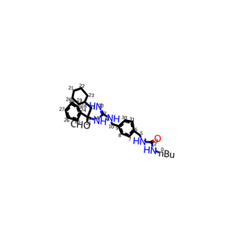 CCCCNC(=O)NCc1ccc(CNC(=N)NC(C=O)(CC2CCCCC2)c2ccccc2)cc1